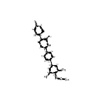 Cc1ccc(-c2ccc(-c3ccc(-c4cc(F)c(N=C=S)c(F)c4)cc3)cc2C)cc1